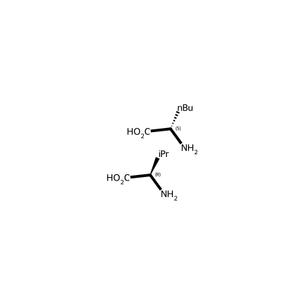 CC(C)[C@@H](N)C(=O)O.CCCC[C@H](N)C(=O)O